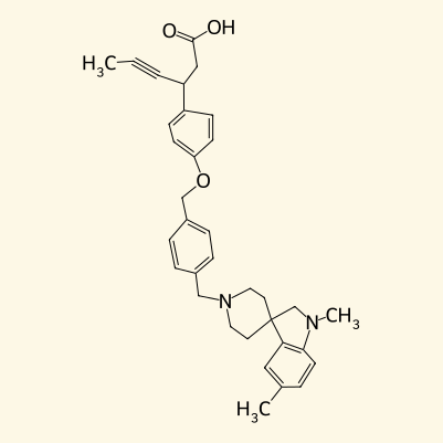 CC#CC(CC(=O)O)c1ccc(OCc2ccc(CN3CCC4(CC3)CN(C)c3ccc(C)cc34)cc2)cc1